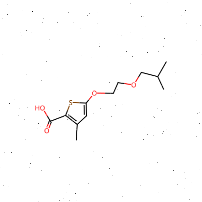 Cc1cc(OCCOCC(C)C)sc1C(=O)O